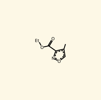 CCOC(=O)c1nocc1C